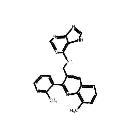 Cc1ccccc1-c1nc2c(C)cccc2cc1CNc1ncnc2nc[nH]c12